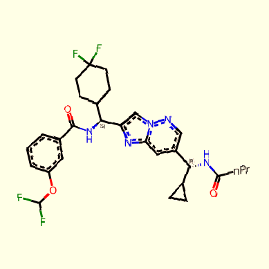 CCCC(=O)N[C@@H](c1cnn2cc([C@@H](NC(=O)c3cccc(OC(F)F)c3)C3CCC(F)(F)CC3)nc2c1)C1CC1